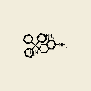 Nc1cc(N)c2c(c1)CCC(N)(C(c1ccccc1)(c1ccccc1)c1ccccc1)C2